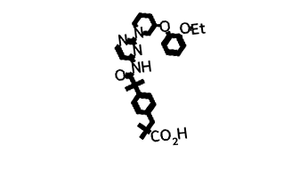 CCOc1ccccc1O[C@@H]1CCCN(c2nccc(NC(=O)C(C)(C)c3ccc(CC(C)(C)C(=O)O)cc3)n2)C1